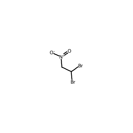 O=[N+]([O-])CC(Br)Br